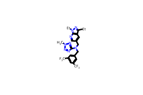 CCc1nn(CC)c2n[c]c(CN(Cc3cc(C(F)(F)F)cc(C(F)(F)F)c3)c3nnn(C)n3)cc12